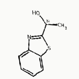 C[C@H](O)c1nc2ccccc2s1